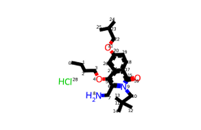 CCCCOc1c(CN)n(CC(C)(C)C)c(=O)c2ccc(OCC(C)C)cc12.Cl